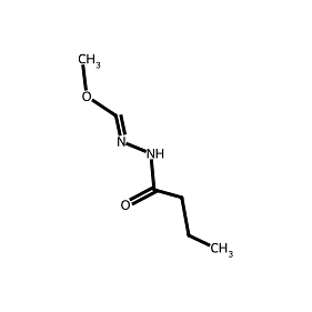 CCCC(=O)NN=COC